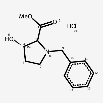 COC(=O)C1[C@@H](O)CCN1Cc1ccccc1.Cl